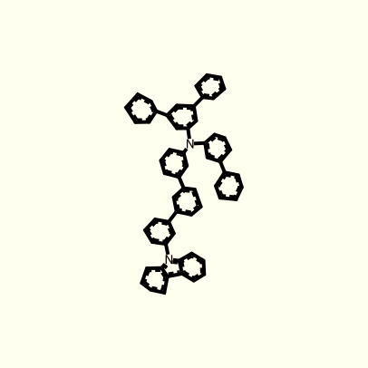 c1ccc(-c2cccc(N(c3cccc(-c4cccc(-c5cccc(-n6c7ccccc7c7ccccc76)c5)c4)c3)c3cc(-c4ccccc4)cc(-c4ccccc4)c3)c2)cc1